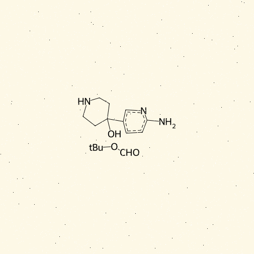 CC(C)(C)OC=O.Nc1ccc(C2(O)CCNCC2)cn1